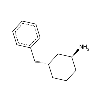 N[C@H]1CCC[C@H](Cc2ccccc2)C1